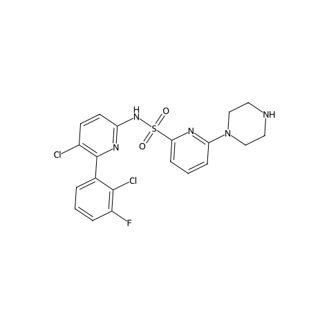 O=S(=O)(Nc1ccc(Cl)c(-c2cccc(F)c2Cl)n1)c1cccc(N2CCNCC2)n1